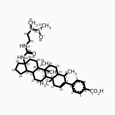 CC1C(c2ccc(C(=O)O)cc2)=CCC2(C)C1CCC1(C)C2CCC2C3CCCC3(NC(=O)NCCN(C)[S+](C)[O-])CC[C@]21C